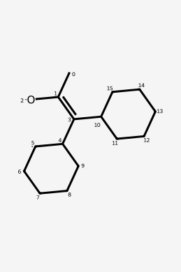 CC([O])=C(C1[CH]CCCC1)C1CCCCC1